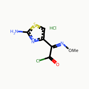 CON=C(C(=O)Cl)c1csc(N)n1.Cl